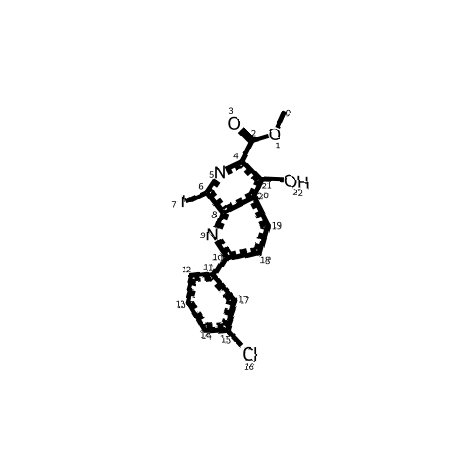 COC(=O)c1nc(I)c2nc(-c3cccc(Cl)c3)ccc2c1O